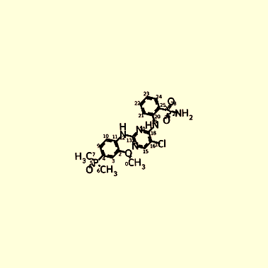 COc1cc(P(C)(C)=O)ccc1Nc1ncc(Cl)c(Nc2ccccc2S(N)(=O)=O)n1